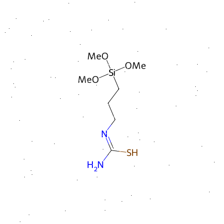 CO[Si](CCCN=C(N)S)(OC)OC